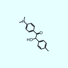 Cc1ccc(C(O)C(=O)c2ccc(N(C)C)cc2)cc1